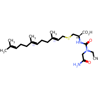 CC(C)=CCC/C(C)=C/CC/C(C)=C/CSC[C@H](NC(=O)N(CC#N)CC(N)=O)C(=O)O